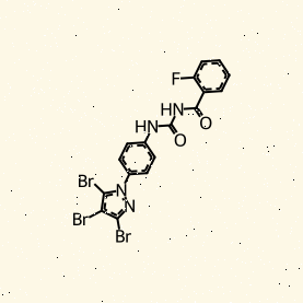 O=C(NC(=O)c1ccccc1F)Nc1ccc(-n2nc(Br)c(Br)c2Br)cc1